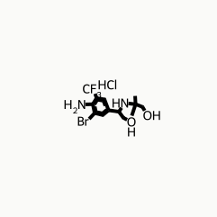 CC(C)(CO)NC(CO)c1cc(Br)c(N)c(C(F)(F)F)c1.Cl